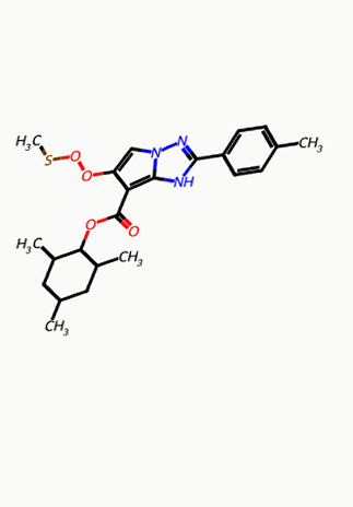 CSOOc1cn2nc(-c3ccc(C)cc3)[nH]c2c1C(=O)OC1C(C)CC(C)CC1C